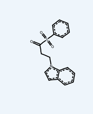 O=C(CCn1ccc2ccccc21)S(=O)(=O)c1ccccc1